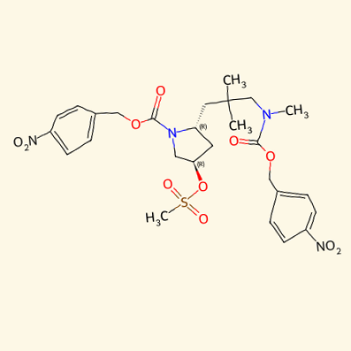 CN(CC(C)(C)C[C@@H]1C[C@@H](OS(C)(=O)=O)CN1C(=O)OCc1ccc([N+](=O)[O-])cc1)C(=O)OCc1ccc([N+](=O)[O-])cc1